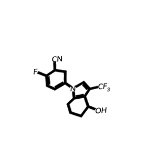 N#CC1CC(n2cc(C(F)(F)F)c3c2CCCC3O)=CC=C1F